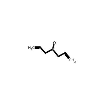 C=CC[I+]([O-])CC=C